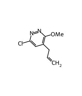 C=CCc1cc(Cl)nnc1OC